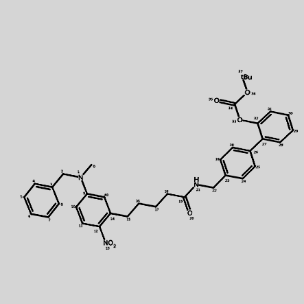 CN(Cc1ccccc1)c1ccc([N+](=O)[O-])c(CCCCC(=O)NCc2ccc(-c3ccccc3OC(=O)OC(C)(C)C)cc2)c1